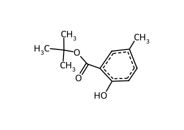 Cc1ccc(O)c(C(=O)OC(C)(C)C)c1